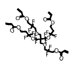 C=CC(=O)OCCC(F)(F)OC(F)(F)C(COCC(F)(F)COC(=O)C=C)(COCC(F)(F)COC(=O)C=C)C(F)(F)OC(F)(F)CCOC(=O)C=C